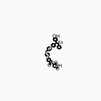 CCC(=C(c1ccc(O)cc1)c1ccc(N2CCC(CN3CCN(c4ccc5c(c4)CN(C4CCC(=O)NC4=O)C5=O)CC3)CC2)cc1)c1ccccc1